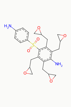 Nc1ccc(S(=O)(=O)c2c(CC3CO3)c(CC3CO3)c(N)c(CC3CO3)c2CC2CO2)cc1